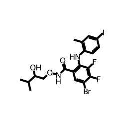 Cc1cc(I)ccc1Nc1c(C(=O)NOCC(O)C(C)C)cc(Br)c(F)c1F